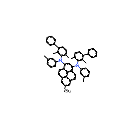 Cc1cccc(N(c2c(C)ccc(-c3ccccc3)c2C)c2cc(N(c3cccc(C)c3)c3c(C)ccc(-c4ccccc4)c3C)c3ccc4cc(C(C)(C)C)cc5ccc2c3c54)c1